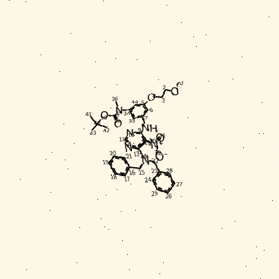 COCCOc1cc(Nc2ncnc(N(Cc3ccccc3)Cc3ccccc3)c2[N+](=O)[O-])cc(N(C)C(=O)OC(C)(C)C)c1